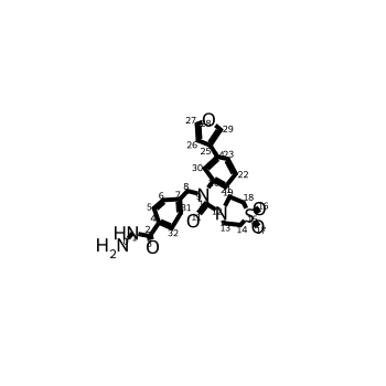 NNC(=O)c1ccc(CN(C(=O)N2CCS(=O)(=O)CC2)c2cccc(-c3ccoc3)c2)cc1